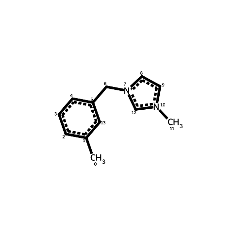 Cc1cccc(C[n+]2ccn(C)c2)c1